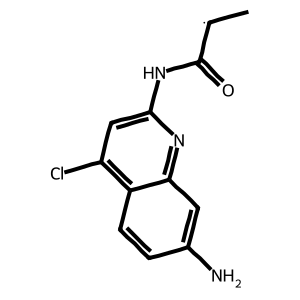 C[CH]C(=O)Nc1cc(Cl)c2ccc(N)cc2n1